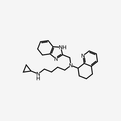 C1=Cc2[nH]c(CN(CCCCNC3CC3)C3CCCc4cccnc43)nc2CC1